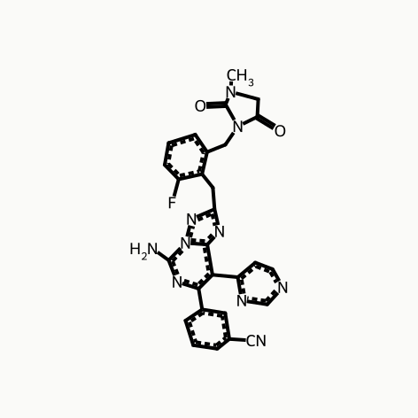 CN1CC(=O)N(Cc2cccc(F)c2Cc2nc3c(-c4ccncn4)c(-c4cccc(C#N)c4)nc(N)n3n2)C1=O